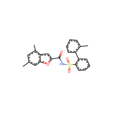 Cc1cc(C)c2cc(C(=O)NS(=O)(=O)c3ccccc3-c3ccccc3C)oc2c1